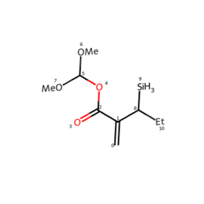 C=C(C(=O)OC(OC)OC)C([SiH3])CC